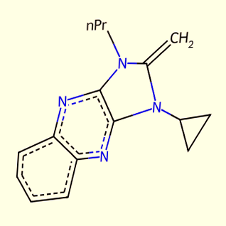 C=C1N(CCC)c2nc3ccccc3nc2N1C1CC1